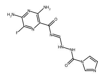 Nc1nc(N)c(C(=O)N=CNNC(=O)n2ccnc2)nc1F